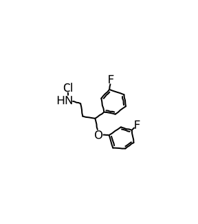 Fc1cccc(OC(CCNCl)c2cccc(F)c2)c1